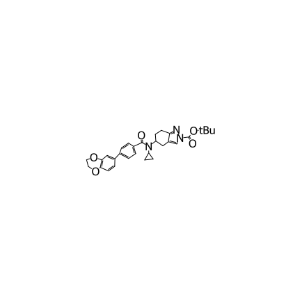 CC(C)(C)OC(=O)n1cc2c(n1)CCC(N(C(=O)c1ccc(-c3ccc4c(c3)OCCO4)cc1)C1CC1)C2